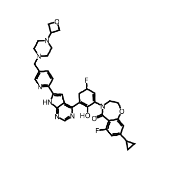 O=C1c2c(F)cc(C3CC3)cc2OCCN1C1=CC(F)CC(c2ncnc3[nH]c(-c4ccc(CN5CCN(C6COC6)CC5)cn4)cc23)=C1O